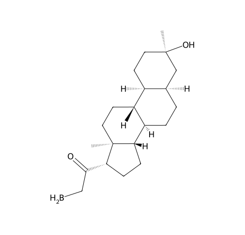 BCC(=O)[C@H]1CC[C@H]2[C@@H]3CC[C@@H]4C[C@](C)(O)CC[C@@H]4[C@H]3CC[C@]12C